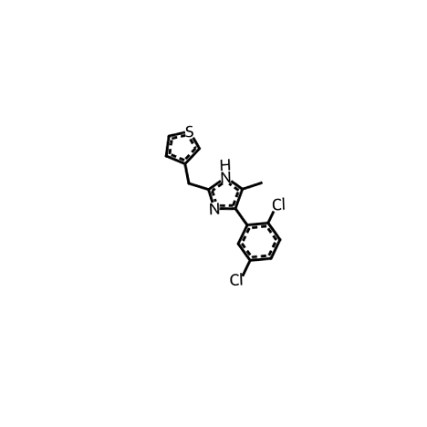 Cc1[nH]c(Cc2ccsc2)nc1-c1cc(Cl)ccc1Cl